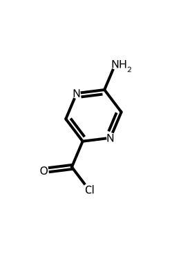 Nc1cnc(C(=O)Cl)cn1